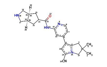 CC1(C)Cc2c(-c3ccnc(NC(=O)C4C[C@H]5CNC[C@H]5C4)c3)cc(C#N)n2C1